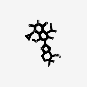 COc1c(-c2cc3c(s2)CCC(F)(F)C3N)c(F)c(C(F)F)c2c(=O)[nH]c(=O)n(C3CC3)c12